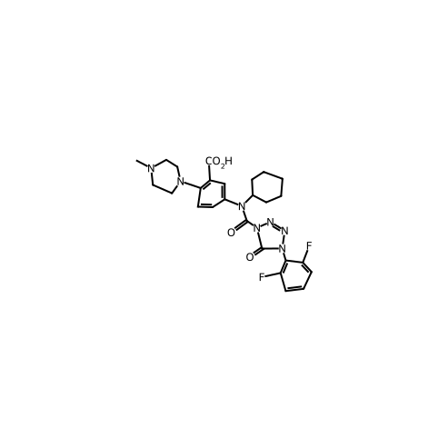 CN1CCN(c2ccc(N(C(=O)n3nnn(-c4c(F)cccc4F)c3=O)C3CCCCC3)cc2C(=O)O)CC1